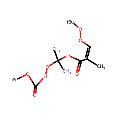 CC(=COOC(C)(C)C)C(=O)OC(C)(C)OOC(=O)OC(C)C